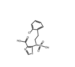 O=C(O)c1ncsc1N(CCc1ccccc1Cl)S(=O)(=O)O